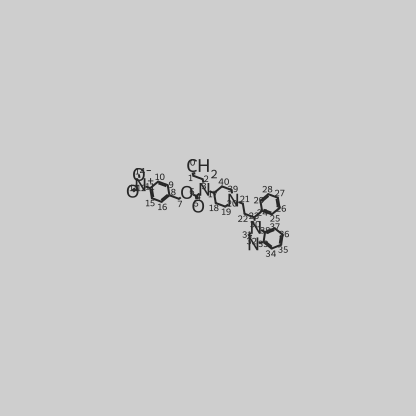 C=CCN(C(=O)OCc1ccc([N+](=O)[O-])cc1)C1CCN(CCC(c2ccccc2)n2cnc3ccccc32)CC1